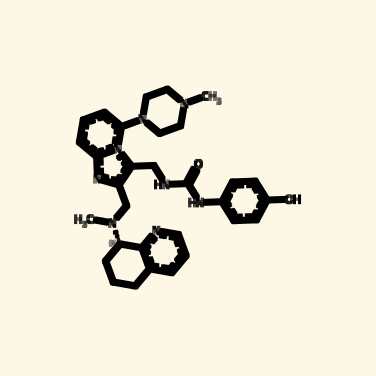 CN1CCN(c2cccc3nc(CN(C)[C@H]4CCCc5cccnc54)c(CNC(=O)Nc4ccc(O)cc4)n23)CC1